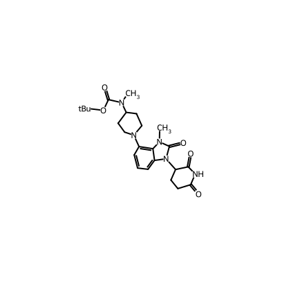 CN(C(=O)OC(C)(C)C)C1CCN(c2cccc3c2n(C)c(=O)n3C2CCC(=O)NC2=O)CC1